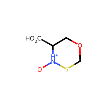 O=C(O)C1COCS[NH+]1[O-]